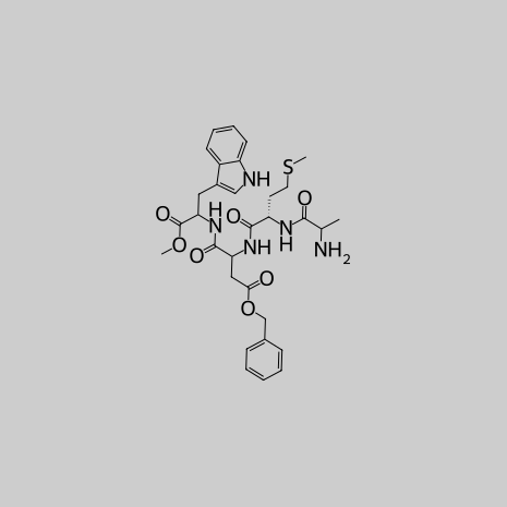 COC(=O)C(Cc1c[nH]c2ccccc12)NC(=O)C(CC(=O)OCc1ccccc1)NC(=O)[C@H](CCSC)NC(=O)C(C)N